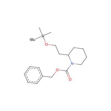 CC(C)(C)[Si](C)(C)OCCC1CCCCN1C(=O)OCc1ccccc1